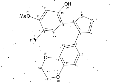 CCCc1cc(-c2sncc2-c2ccc3c(c2)OCCO3)c(O)cc1OC